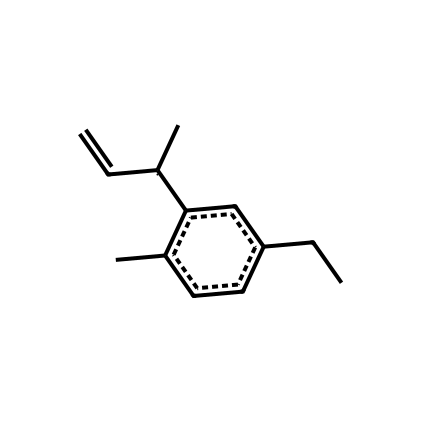 C=C[C](C)c1cc(CC)ccc1C